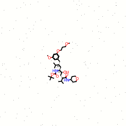 COCCCOc1cc(C[C@H](C[C@H](NC(=O)OC(C)(C)C)[C@H](O)C[C@H](C(=O)NC2CCOCC2)C(C)C)C(C)C)cc(OC)c1